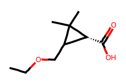 CCOCC1[C@@H](C(=O)O)C1(C)C